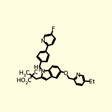 CCc1ccc(COc2ccc3c(c2)cc(CC(C)(C)C(=O)O)n3Cc2ccc(-c3ccc(F)cn3)cc2)nc1